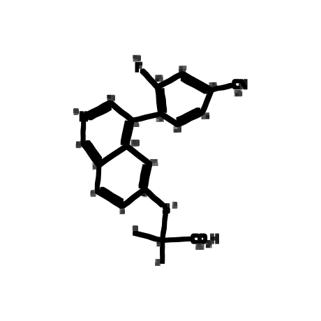 CC(C)(Sc1ccc2cncc(-c3ccc(C#N)cc3F)c2c1)C(=O)O